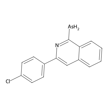 Clc1ccc(-c2cc3ccccc3c([AsH2])n2)cc1